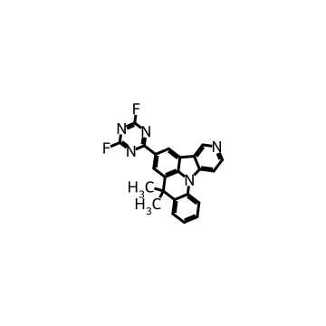 CC1(C)c2ccccc2-n2c3ccncc3c3cc(-c4nc(F)nc(F)n4)cc1c32